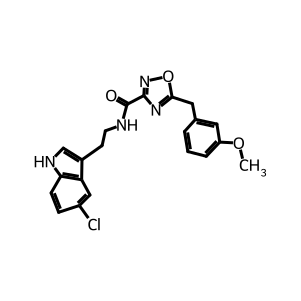 COc1cccc(Cc2nc(C(=O)NCCc3c[nH]c4ccc(Cl)cc34)no2)c1